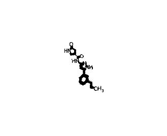 CCCc1cccc(-c2cc(NC(=O)[C@H]3CNC(=O)C3)n[nH]2)c1